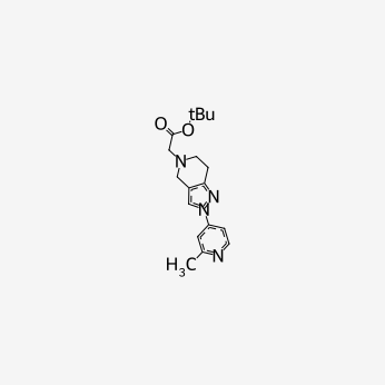 Cc1cc(-n2cc3c(n2)CCN(CC(=O)OC(C)(C)C)C3)ccn1